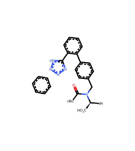 CCCCC(=O)N(Cc1ccc(-c2ccccc2-c2nnn[nH]2)cc1)[C@H](C(=O)O)C(C)C.c1ccccc1